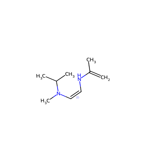 C=C(C)N/C=C\N(C)C(C)C